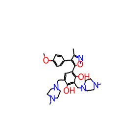 COc1ccc(-c2c(C)noc2-c2cc(CN3CCN(C)CC3)c(O)c(CN3CCN(C)CC3)c2O)cc1